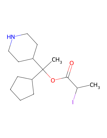 CC(I)C(=O)OC(C)(C1CCCC1)C1CCNCC1